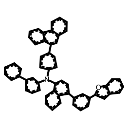 c1ccc(-c2cccc(N(c3ccc(-c4cc5ccccc5c5ccccc45)cc3)c3ccc(-c4cccc(-c5cc6ccccc6o5)c4)c4ccccc34)c2)cc1